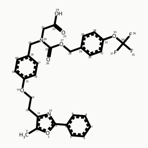 Cc1oc(-c2ccccc2)nc1CCOc1ccc(CN(CC(=O)O)C(=O)OCc2ccc(OC(F)(F)F)cc2)cc1